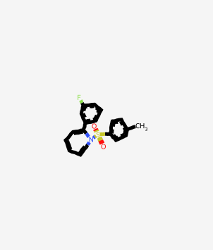 Cc1ccc(S(=O)(=O)N2C=CC=CC=C2c2cccc(F)c2)cc1